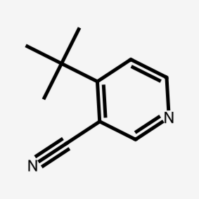 CC(C)(C)c1ccncc1C#N